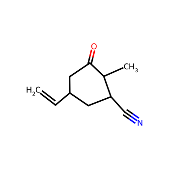 C=CC1CC(=O)C(C)C(C#N)C1